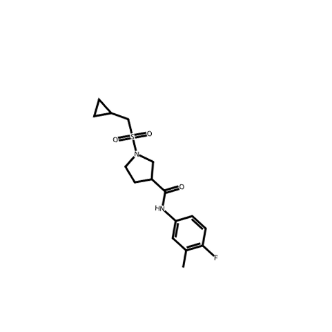 Cc1cc(NC(=O)C2CCN(S(=O)(=O)CC3CC3)C2)ccc1F